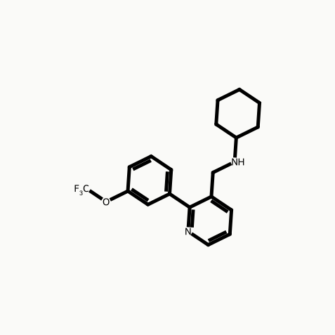 FC(F)(F)Oc1cccc(-c2ncccc2CNC2CCCCC2)c1